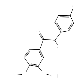 COc1ccc(C(=O)C(Cl)c2ccc(Cl)cc2)cc1OC